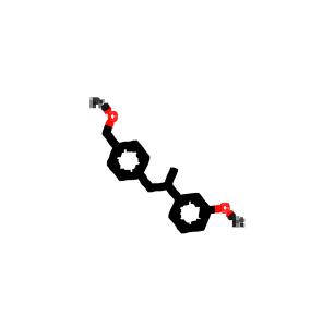 CCOc1cccc(C(C)Cc2ccc(COC(C)C)cc2)c1